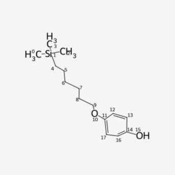 C[Si](C)(C)CCCCCCOc1ccc(O)cc1